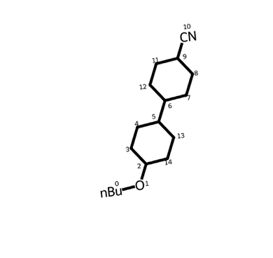 CCCCOC1CCC(C2CCC(C#N)CC2)CC1